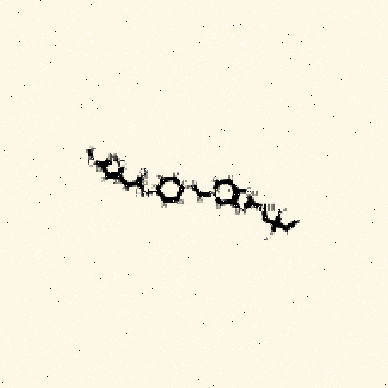 CCC(F)(F)CNc1nc2c(s1)CCN(CC[C@H]1CC[C@H](NC(=O)Cc3cc(OC)no3)CC1)C2